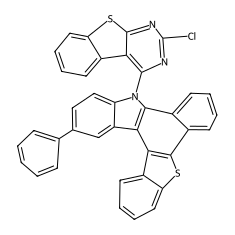 Clc1nc(-n2c3ccc(-c4ccccc4)cc3c3c4c5ccccc5sc4c4ccccc4c32)c2c(n1)sc1ccccc12